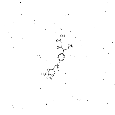 CCC(C(=O)CC(=O)O)c1ccc(NCC2COC(C)(C)O2)cc1